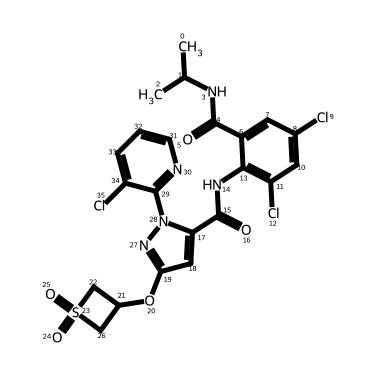 CC(C)NC(=O)c1cc(Cl)cc(Cl)c1NC(=O)c1cc(OC2CS(=O)(=O)C2)nn1-c1ncccc1Cl